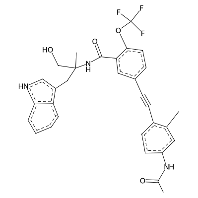 CC(=O)Nc1ccc(C#Cc2ccc(OC(F)(F)F)c(C(=O)NC(C)(CO)Cc3c[nH]c4ccccc34)c2)c(C)c1